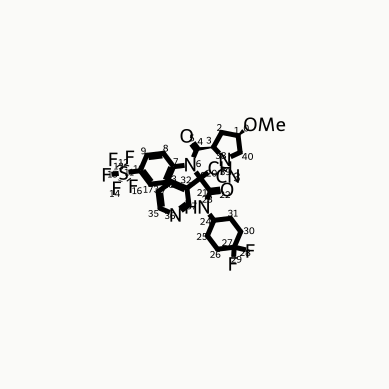 CO[C@@H]1C[C@H](C(=O)N(c2ccc(S(F)(F)(F)(F)F)cc2)C(C)(C(=O)NC2CCC(F)(F)CC2)c2cccnc2)N(C#N)C1